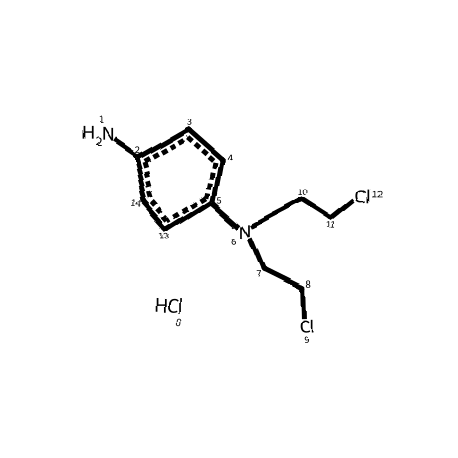 Cl.Nc1ccc(N(CCCl)CCCl)cc1